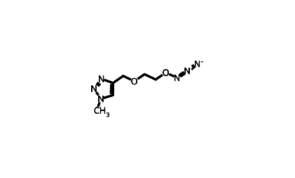 Cn1cc(COCCON=[N+]=[N-])nn1